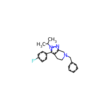 CC(C)n1nc2c(c1-c1ccc(F)cc1)CCN(Cc1ccccc1)C2